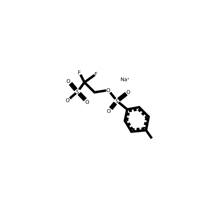 Cc1ccc(S(=O)(=O)OCC(F)(F)S(=O)(=O)[O-])cc1.[Na+]